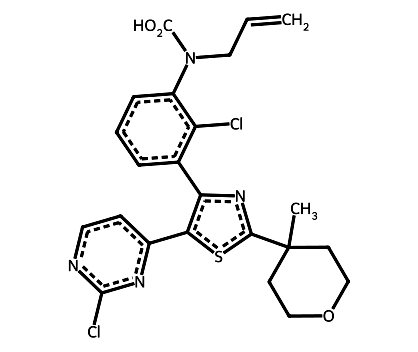 C=CCN(C(=O)O)c1cccc(-c2nc(C3(C)CCOCC3)sc2-c2ccnc(Cl)n2)c1Cl